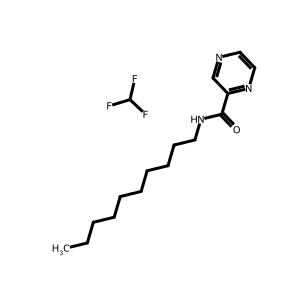 CCCCCCCCCCNC(=O)c1cnccn1.FC(F)F